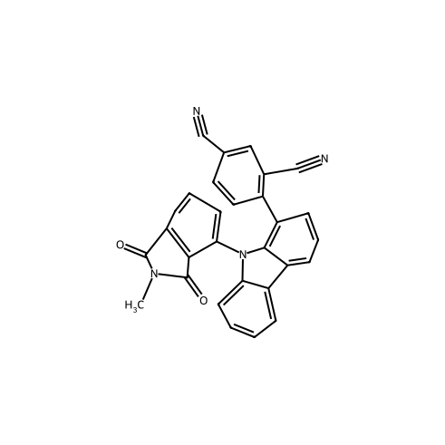 CN1C(=O)c2cccc(-n3c4ccccc4c4cccc(-c5ccc(C#N)cc5C#N)c43)c2C1=O